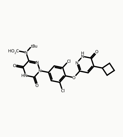 CC(C)(C)N(C(=O)O)c1nn(-c2cc(Cl)c(Oc3cc(C4CCC4)c(=O)[nH]n3)c(Cl)c2)c(=O)[nH]c1=O